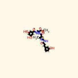 COC(=O)C(CNC(=O)c1cc(O)cc(O)c1)NC(=O)c1sc(NC(=O)CCc2cccc(O)c2)nc1C